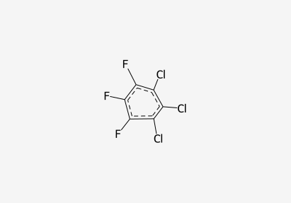 Fc1c(F)c(Cl)c(Cl)c(Cl)c1F